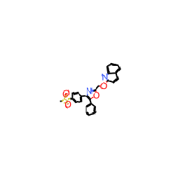 CS(=O)(=O)c1ccc(-c2nc(COc3ccc4ccccc4n3)oc2-c2ccccc2)cc1